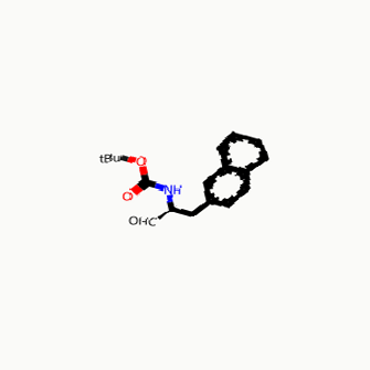 CC(C)(C)OC(=O)N[C@H](C=O)Cc1ccc2ccccc2c1